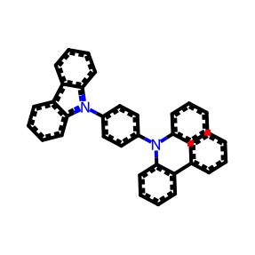 c1ccc(-c2ccccc2N(c2ccccc2)c2ccc(-n3c4ccccc4c4ccccc43)cc2)cc1